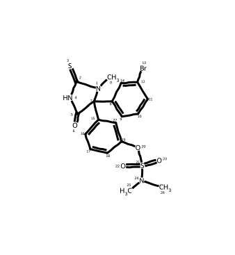 CN1C(=S)NC(=O)C1(c1cccc(Br)c1)c1cccc(OS(=O)(=O)N(C)C)c1